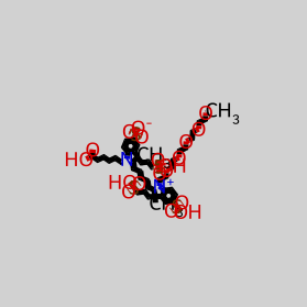 COCCOCCOCCOCCOCC[N+]1=C(/C=C/C=C/C=C2/N(CCCCCC(=O)O)c3ccc(S(=O)(=O)[O-])cc3C2(C)CCCS(=O)(=O)O)C(C)(CCCS(=O)(=O)O)c2cc(S(=O)(=O)O)ccc21